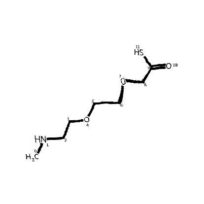 CNCCOCCOCC(=O)S